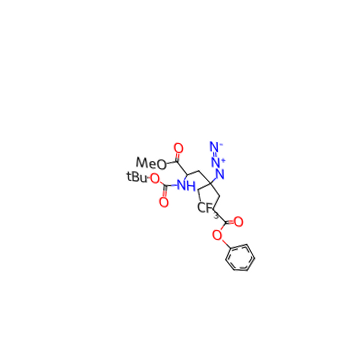 COC(=O)C(CC(CCC(=O)Oc1ccccc1)(CC(F)(F)F)N=[N+]=[N-])NC(=O)OC(C)(C)C